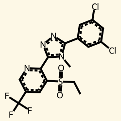 CCS(=O)(=O)c1cc(C(F)(F)F)cnc1-c1nnc(-c2cc(Cl)cc(Cl)c2)n1C